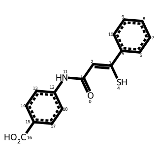 O=C(C=C(S)c1ccccc1)Nc1ccc(C(=O)O)cc1